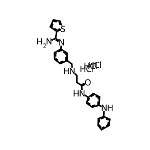 Cl.Cl.Cl.N/C(=N\c1cccc(CNCCC(=O)Nc2ccc(Nc3ccccc3)cc2)c1)c1cccs1